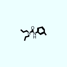 CCCN(CCC)C(=O)Nc1cccc(C)c1